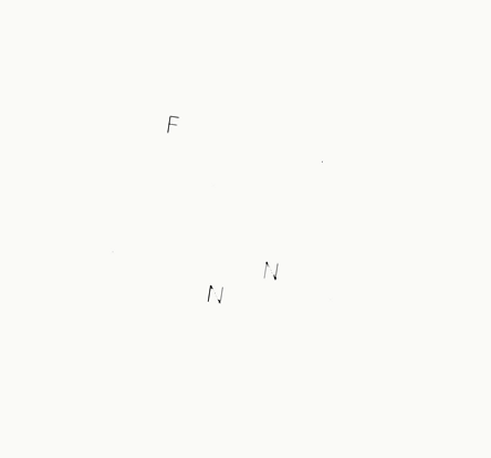 CC(C)(C)c1nn(C2CCCC2)c(C(C)(C)C)c1F